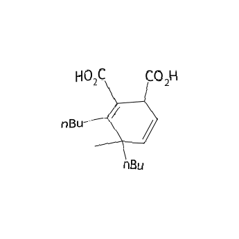 CCCCC1=C(C(=O)O)C(C(=O)O)C=CC1(C)CCCC